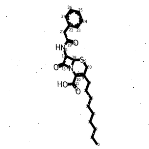 CCCCCCCCCC1=C(C(=O)O)N2C(=O)C(NC(=O)Cc3ccccc3)C2SC1